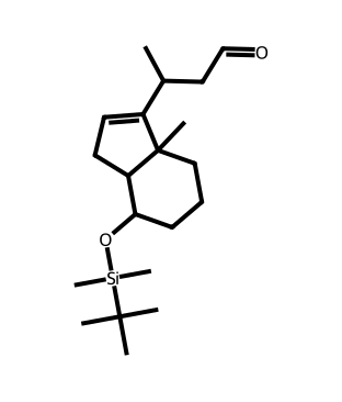 CC(CC=O)C1=CCC2C(O[Si](C)(C)C(C)(C)C)CCCC12C